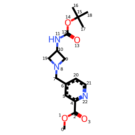 COC(=O)c1cc(CN2CC(NC(=O)OC(C)(C)C)C2)ccn1